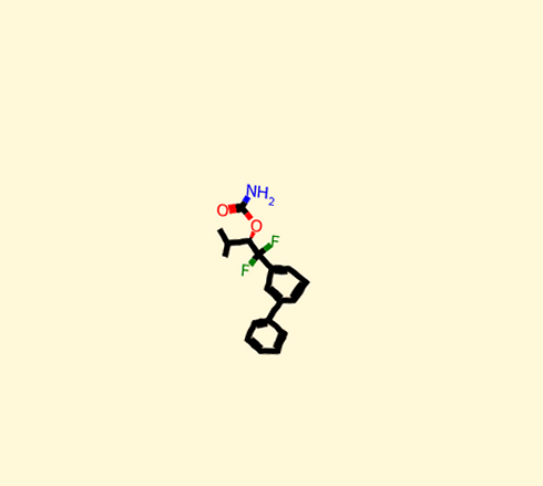 CC(C)[C@@H](OC(N)=O)C(F)(F)c1cccc(-c2ccccc2)c1